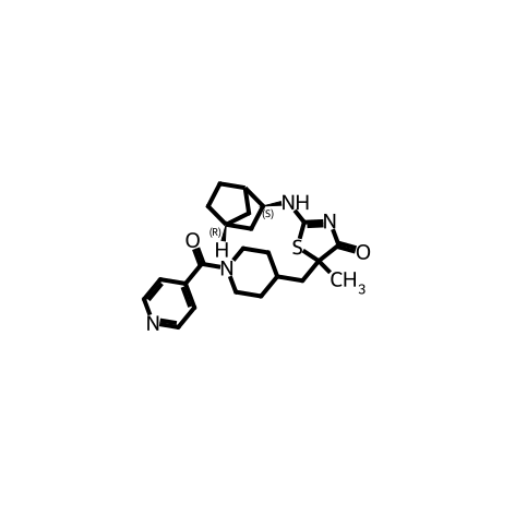 CC1(CC2CCN(C(=O)c3ccncc3)CC2)SC(N[C@H]2C[C@@H]3CCC2C3)=NC1=O